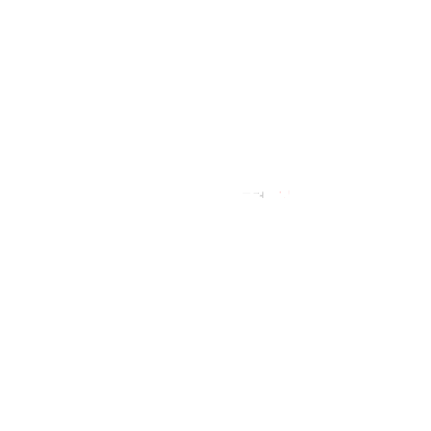 CCCCCCCCC[CH2][BiH][O]c1ccccc1